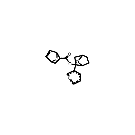 O=C(OC1(c2ccccc2)CC2CCC1O2)C1CC2C=CC1O2